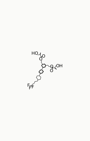 C=C(CO)C(=O)OCCc1cc(CCOC(=O)C(=C)CO)cc(-c2ccc(C3CCC(CCCCC(F)(F)F)CC3)cc2)c1